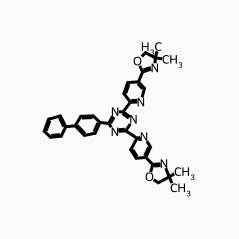 CC1(C)COC(c2ccc(-c3nc(-c4ccc(-c5ccccc5)cc4)nc(-c4ccc(C5=NC(C)(C)CO5)cn4)n3)nc2)=N1